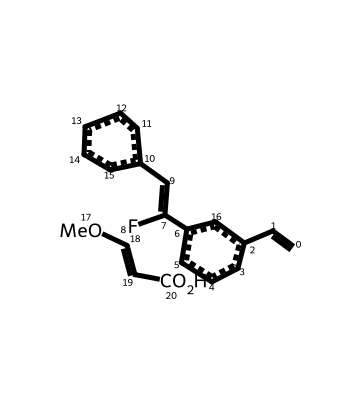 C=Cc1cccc(C(F)=Cc2ccccc2)c1.COC=CC(=O)O